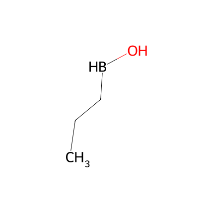 CCCBO